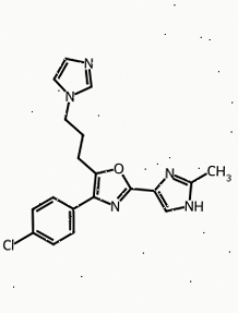 Cc1nc(-c2nc(-c3ccc(Cl)cc3)c(CCCn3ccnc3)o2)c[nH]1